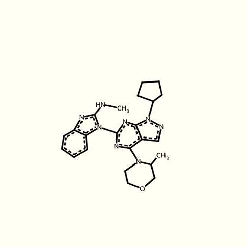 CNc1nc2ccccc2n1-c1nc(N2CCOCC2C)c2cnn(C3CCCC3)c2n1